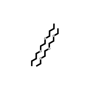 CCCCOCCOCCCC.CCOCCOCCOCC